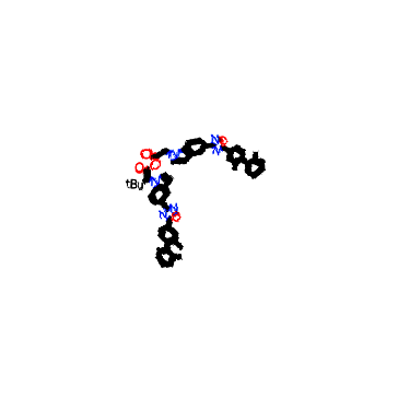 Cc1ccccc1-c1ccc(-c2nc(-c3ccc4c(ccn4CC(=O)OC(=O)C(n4ccc5cc(-c6noc(-c7ccc(-c8ccccc8C)c(C)c7)n6)ccc54)C(C)(C)C)c3)no2)cc1C